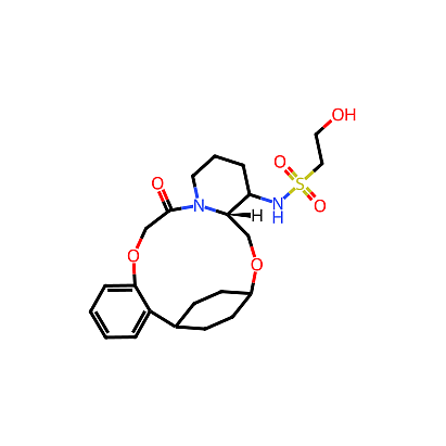 O=C1COc2ccccc2C2CCC(CC2)OC[C@H]2C(NS(=O)(=O)CCO)CCCN12